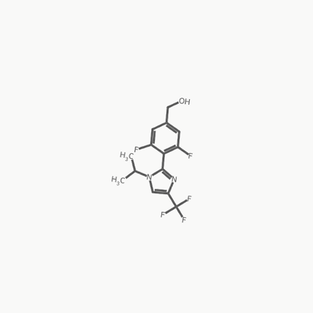 CC(C)n1cc(C(F)(F)F)nc1-c1c(F)cc(CO)cc1F